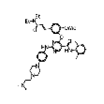 CCN(CC)C(=O)C=Cc1ccc(OC)c(Oc2nc(Nc3ccc(N4CCN(CCN(C)C)CC4)cc3)ncc2C(=O)Nc2c(C)cccc2C)c1